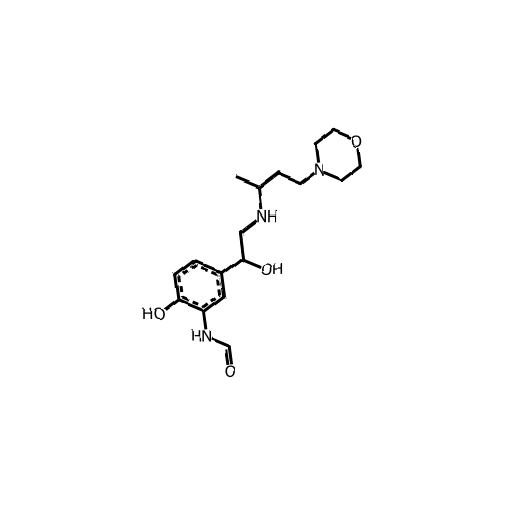 CC(CCN1CCOCC1)NCC(O)c1ccc(O)c(NC=O)c1